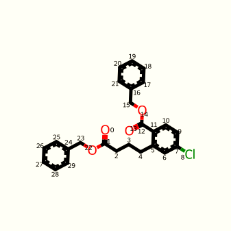 O=C(CCCc1cc(Cl)ccc1C(=O)OCc1ccccc1)OCc1ccccc1